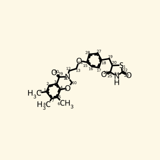 Cc1cc2c(c(C)c1C)OCN(CCOc1ccc(CC3SC(=O)NC3=O)cc1)C2=O